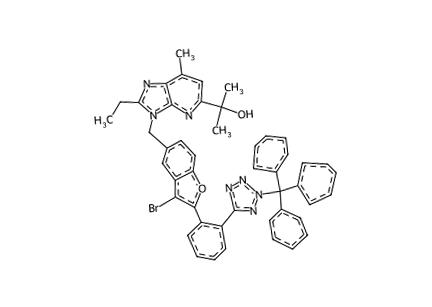 CCc1nc2c(C)cc(C(C)(C)O)nc2n1Cc1ccc2oc(-c3ccccc3-c3nnn(C(c4ccccc4)(c4ccccc4)c4ccccc4)n3)c(Br)c2c1